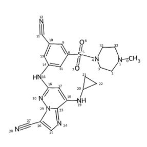 CN1CCN(S(=O)(=O)c2cc(C#N)cc(Nc3cc(NC4CC4)c4ncc(C#N)n4n3)c2)CC1